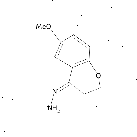 COc1ccc2c(c1)/C(=N/N)CCO2